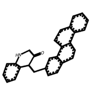 O=C1CNc2ccccc2C1Cc1ccc2ccc3c4ccccc4ccc3c2c1